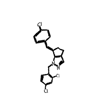 Clc1ccc(/C=C2\CCc3cnn(Cc4ccc(Cl)cc4Cl)c32)cc1